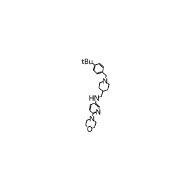 CC(C)(C)c1ccc(CN2CCC(CNc3ccc(N4CCOCC4)nc3)CC2)cc1